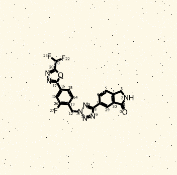 O=C1NCc2ccc(-c3nnn(Cc4ccc(-c5nnc(C(F)F)o5)cc4F)n3)cc21